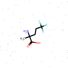 CC(N)(CCC(F)(F)F)C(=O)O